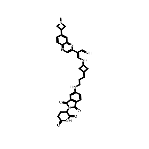 CN1CC(c2ccc3ncc(/C(C=N)=C/NC4CC(CCCNc5ccc6c(c5)C(=O)N(C5CCC(=O)NC5=O)C6=O)C4)nc3c2)C1